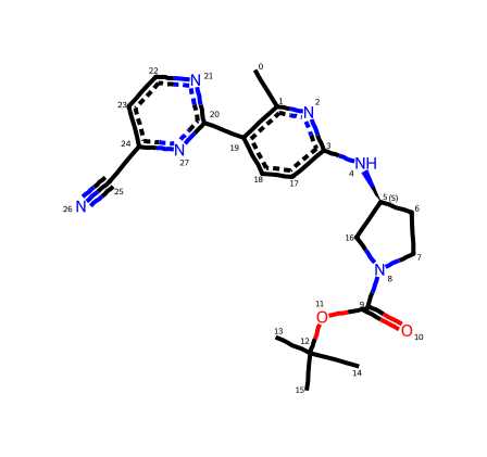 Cc1nc(N[C@H]2CCN(C(=O)OC(C)(C)C)C2)ccc1-c1nccc(C#N)n1